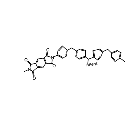 CCCCCC(c1ccc(Cc2ccc(C)cc2)cc1)c1ccc(Cc2ccc(-n3c(=O)c4cc5c(=O)n(C)c(=O)c5cc4c3=O)cc2)cc1